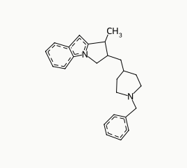 CC1c2cc3ccccc3n2CC1CC1CCN(Cc2ccccc2)CC1